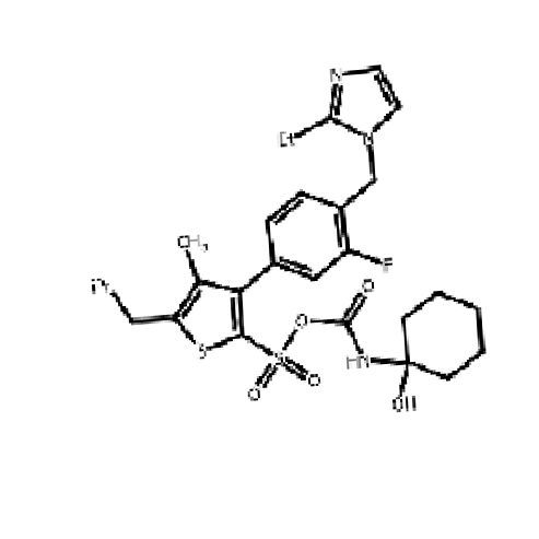 CCc1nccn1Cc1ccc(-c2c(S(=O)(=O)OC(=O)NC3(O)CCCCC3)sc(CC(C)C)c2C)cc1F